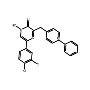 O=c1c(Cc2ccc(-c3ccccc3)cc2)nc(-c2ccc(Cl)c(Cl)c2)cn1O